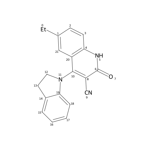 CCc1ccc2[nH]c(=O)c(C#N)c(N3CCc4ccccc43)c2c1